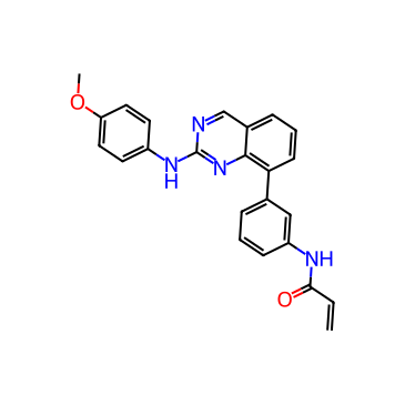 C=CC(=O)Nc1cccc(-c2cccc3cnc(Nc4ccc(OC)cc4)nc23)c1